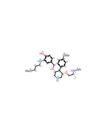 CCCN[C@H](C)CO[C@@H]1CNC[C@H](OCc2ccc(O)c(NCCCOC)c2)C1c1ccc(OC)cc1